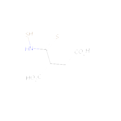 O=C(O)CC(C(=O)O)C(=S)NS